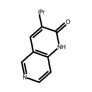 CC(C)c1cc2cnccc2[nH]c1=O